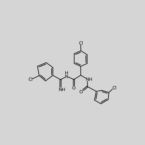 N=C(NC(=O)C(NC(=O)c1cccc(Cl)c1)c1ccc(Cl)cc1)c1cccc(Cl)c1